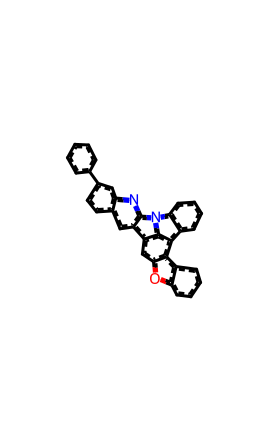 c1ccc(-c2ccc3cc4c5cc6oc7ccccc7c6c6c7ccccc7n(c4nc3c2)c56)cc1